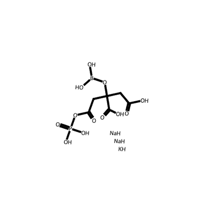 O=C(O)CC(CC(=O)OP(=O)(O)O)(OB(O)O)C(=O)O.[KH].[NaH].[NaH]